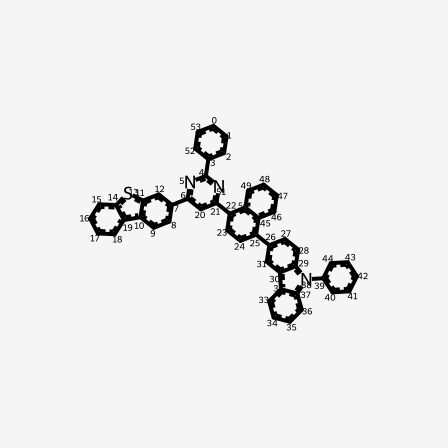 c1ccc(-c2nc(-c3ccc4c(c3)sc3ccccc34)cc(-c3ccc(-c4ccc5c(c4)c4ccccc4n5-c4ccccc4)c4ccccc34)n2)cc1